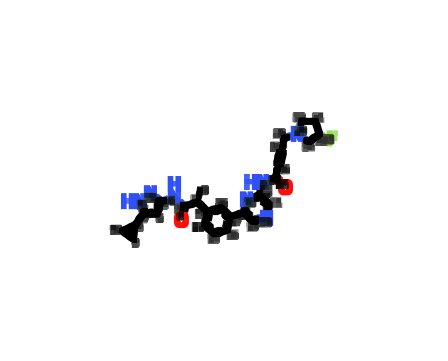 C[C@H](C(=O)Nc1cc(C2CC2)[nH]n1)c1cccc(-c2cncc(NC(=O)C#CCN3CC[C@H](F)C3)n2)c1